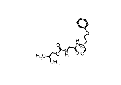 CC(C)COC(=O)NCC(=O)N[C@H](C=O)CCOc1ccccc1